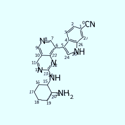 N#Cc1ccc2c(-c3cncc4cnc(NC5CCCCC5N)nc34)c[nH]c2c1